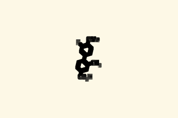 COc1ccc(-c2ccc(C(=O)O)cc2C)cc1F